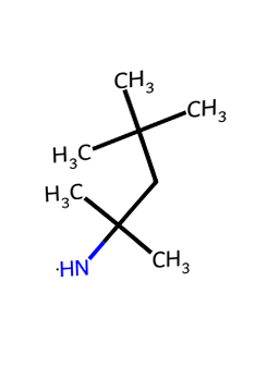 CC(C)(C)CC(C)(C)[NH]